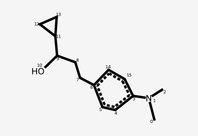 CN(C)c1ccc(CCC(O)C2CC2)cc1